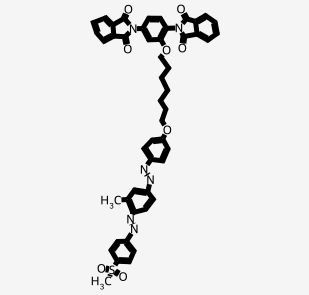 Cc1cc(/N=N/c2ccc(OCCCCCCCOc3cc(N4C(=O)c5ccccc5C4=O)ccc3N3C(=O)c4ccccc4C3=O)cc2)ccc1/N=N/c1ccc(S(C)(=O)=O)cc1